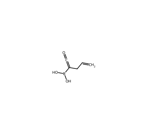 C=CCC(=C=O)B(O)O